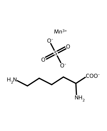 NCCCCC(N)C(=O)[O-].O=S(=O)([O-])[O-].[Mn+3]